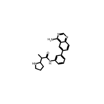 CC(C(=O)Nc1cccc(-c2ccc3ncnc(N)c3c2)c1)C1CCCN1